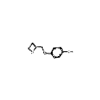 Oc1ccc(OC[C@@H]2CCO2)cc1